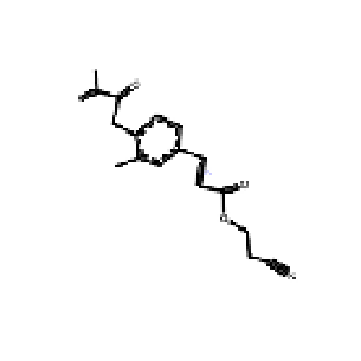 C=C(C)C(=O)Cc1ccc(/C=C/C(=O)OCCC#N)cc1C